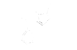 CC1=NC(C(=O)c2ccccc2)=CC1